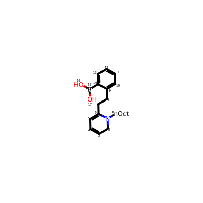 CCCCCCCCN1CC=CC=C1CCc1ccccc1B(O)O